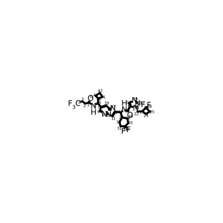 O=C(CCC(F)(F)F)NC(c1cnn2cc([C@@H](NC(=O)c3cnnn3CC3CCC3(F)F)C3CCC(F)(F)CC3)nc2c1)C1CCC1